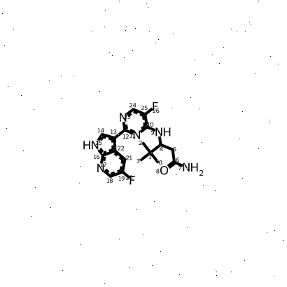 CC(C)(C)C(CC(N)=O)Nc1nc(-c2c[nH]c3ncc(F)cc23)ncc1F